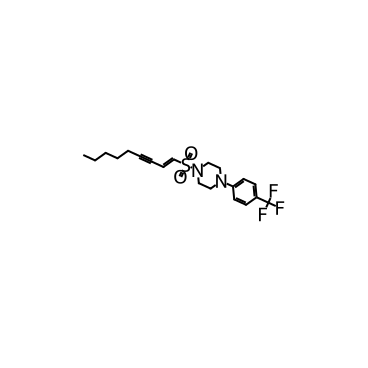 CCCCCC#CC=CS(=O)(=O)N1CCN(c2ccc(C(F)(F)F)cc2)CC1